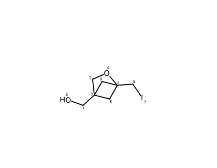 OCC12COC(CI)(C1)C2